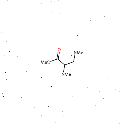 CNCC(NC)C(=O)OC